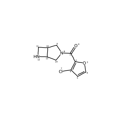 O=C(c1occc1Cl)N1CC2CNC2C1